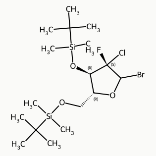 CC(C)(C)[Si](C)(C)OC[C@H]1OC(Br)[C@@](F)(Cl)[C@@H]1O[Si](C)(C)C(C)(C)C